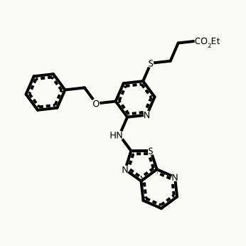 CCOC(=O)CCSc1cnc(Nc2nc3cccnc3s2)c(OCc2ccccc2)c1